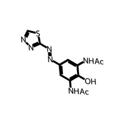 CC(=O)Nc1cc(N=Nc2nncs2)cc(NC(C)=O)c1O